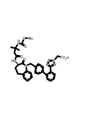 CC(C)(CC(=O)N[C@@H]1CCc2ccccc2N(Cc2ccc(-c3ccccc3-c3nnn(CC(=O)O)n3)cc2)C1=O)NC(=O)OC(C)(C)C